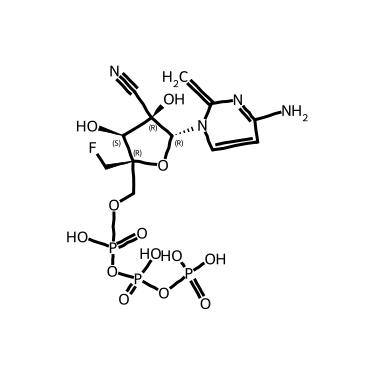 C=C1N=C(N)C=CN1[C@@H]1O[C@](CF)(COP(=O)(O)OP(=O)(O)OP(=O)(O)O)[C@@H](O)[C@]1(O)C#N